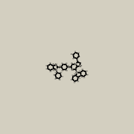 c1ccc(-c2cnc3c(-n4c5ccccc5c5ccccc54)nc(-c4ccc(-c5nc6ccccc6n5-c5ccccc5)cc4)cn23)cc1